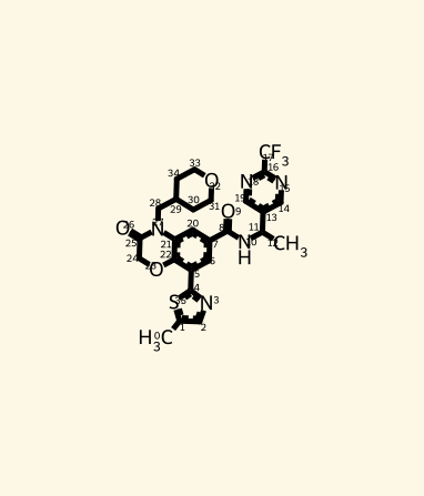 Cc1cnc(-c2cc(C(=O)NC(C)c3cnc(C(F)(F)F)nc3)cc3c2OCC(=O)N3CC2CCOCC2)s1